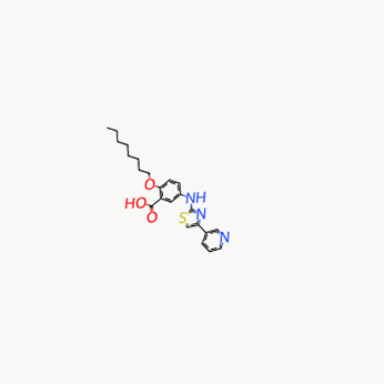 CCCCCCCCOc1ccc(Nc2nc(-c3cccnc3)cs2)cc1C(=O)O